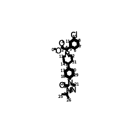 COC(=O)C(c1cccc(Cl)c1)N1CCC(c2ccc(-n3cnn(C(C)C)c3=O)cc2)CC1